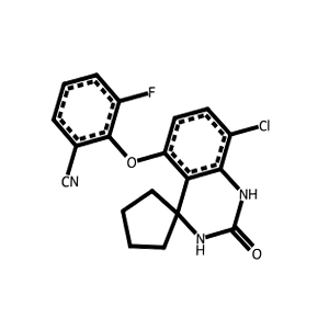 N#Cc1cccc(F)c1Oc1ccc(Cl)c2c1C1(CCCC1)NC(=O)N2